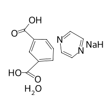 O.O=C(O)c1cccc(C(=O)O)c1.[NaH].c1cnccn1